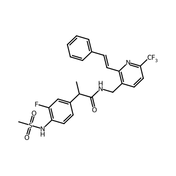 CC(C(=O)NCc1ccc(C(F)(F)F)nc1/C=C/c1ccccc1)c1ccc(NS(C)(=O)=O)c(F)c1